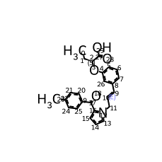 CC[C@H](Oc1cccc(/C=C/Cn2cccc2C(=O)c2ccc(C)cc2)c1)C(=O)O